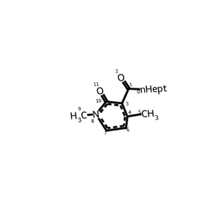 CCCCCCCC(=O)c1c(C)ccn(C)c1=O